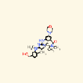 Cc1ccc(CO)cc1N(C)c1ccnc(Nc2cc(C(=O)N(C)C(C)C)cc(N3CCOCC3)c2)n1